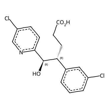 O=C(O)CC[C@H](c1cccc(Cl)c1)[C@@H](O)c1ccc(Cl)cn1